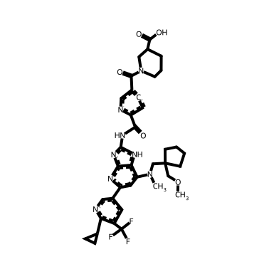 COCC1(CN(C)c2cc(-c3cnc(C4CC4)c(C(F)(F)F)c3)nc3nc(NC(=O)c4ccc(C(=O)N5CCCC(C(=O)O)C5)cn4)[nH]c23)CCCC1